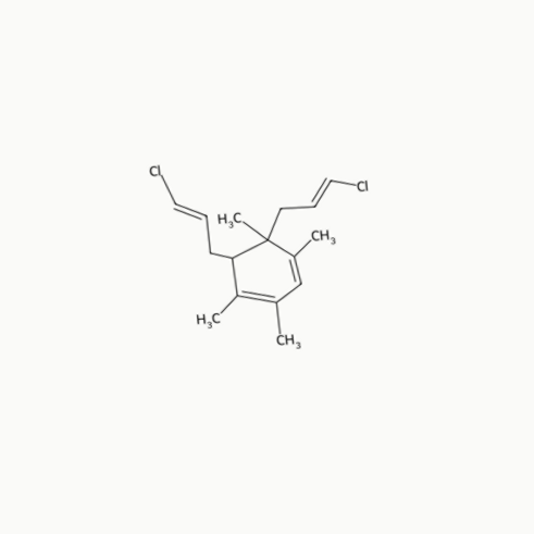 CC1=CC(C)=C(C)C(C/C=C/Cl)C1(C)C/C=C/Cl